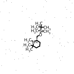 CN1[C@@H](CO[Si](C)(C)C(C)(C)C)CCCC1(C)C